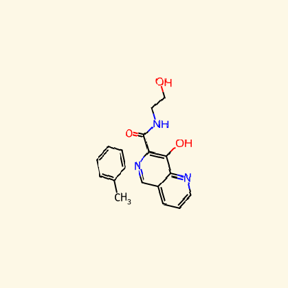 Cc1ccccc1.O=C(NCCO)c1ncc2cccnc2c1O